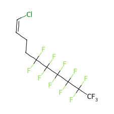 FC(F)(F)C(F)(F)C(F)(F)C(F)(F)C(F)(F)C(F)(F)CC/C=C\Cl